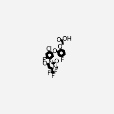 Cn1c(C(F)(F)F)cc(=O)n(-c2cc(Oc3cc(F)ccc3OCC(=O)O)c(Cl)cc2F)c1=O